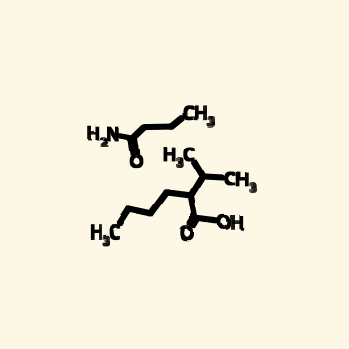 CCCC(N)=O.CCCCC(C(=O)O)C(C)C